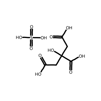 O=C(O)CC(O)(CC(=O)O)C(=O)O.O=S(=O)(O)O